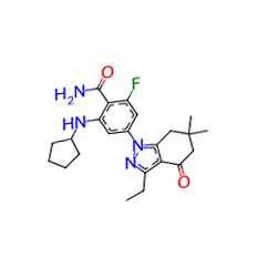 CCc1nn(-c2cc(F)c(C(N)=O)c(NC3CCCC3)c2)c2c1C(=O)CC(C)(C)C2